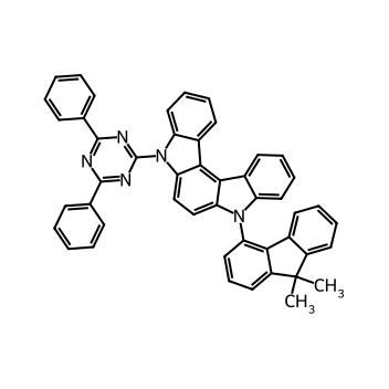 CC1(C)c2ccccc2-c2c(-n3c4ccccc4c4c5c6ccccc6n(-c6nc(-c7ccccc7)nc(-c7ccccc7)n6)c5ccc43)cccc21